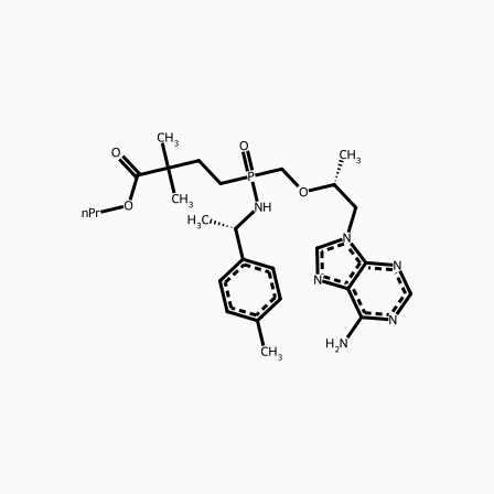 CCCOC(=O)C(C)(C)CCP(=O)(CO[C@H](C)Cn1cnc2c(N)ncnc21)N[C@@H](C)c1ccc(C)cc1